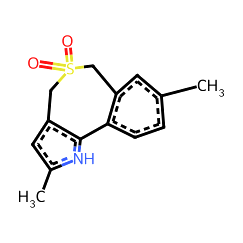 Cc1ccc2c(c1)CS(=O)(=O)Cc1cc(C)[nH]c1-2